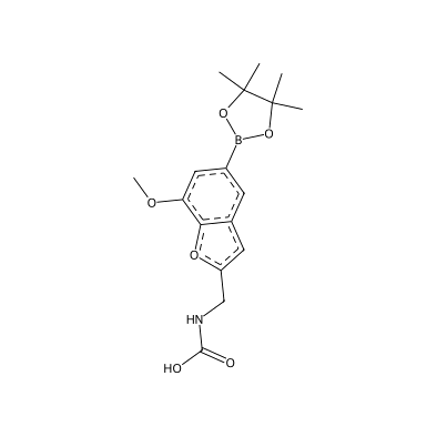 COc1cc(B2OC(C)(C)C(C)(C)O2)cc2cc(CNC(=O)O)oc12